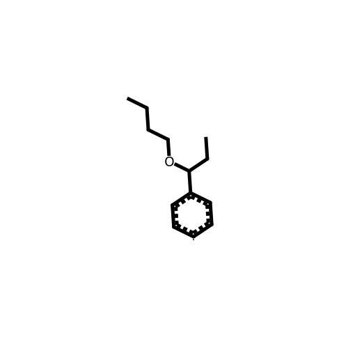 CCCCOC(CC)c1cc[c]cc1